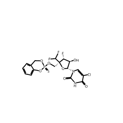 O=c1[nH]c(=O)n([C@@H]2O[C@@](COP3(=S)OCc4ccccc4O3)(C(F)F)[C@H](F)[C@H]2O)cc1Cl